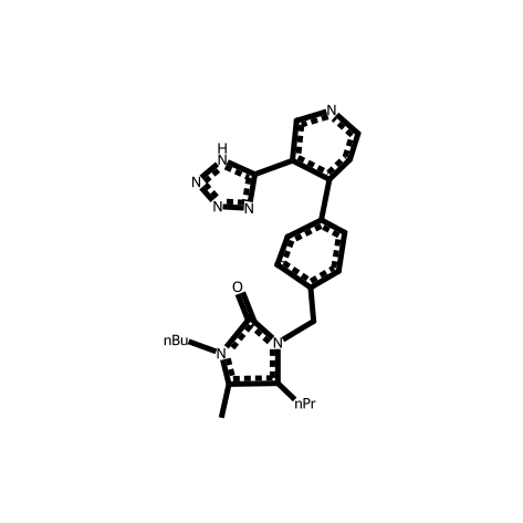 CCCCn1c(C)c(CCC)n(Cc2ccc(-c3ccncc3-c3nnn[nH]3)cc2)c1=O